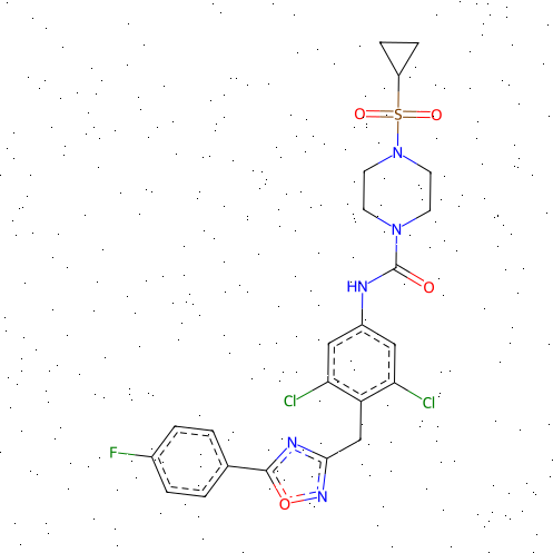 O=C(Nc1cc(Cl)c(Cc2noc(-c3ccc(F)cc3)n2)c(Cl)c1)N1CCN(S(=O)(=O)C2CC2)CC1